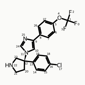 FC(F)(F)Oc1ccc(-c2cn([C@@]3(c4ccc(Cl)cc4)CCNC3)cn2)cc1